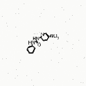 O=C(Nc1ccccc1)Nc1ccc([N+](=O)[O-])cn1